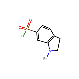 CCN1CCc2ccc(S(=O)(=O)Cl)cc21